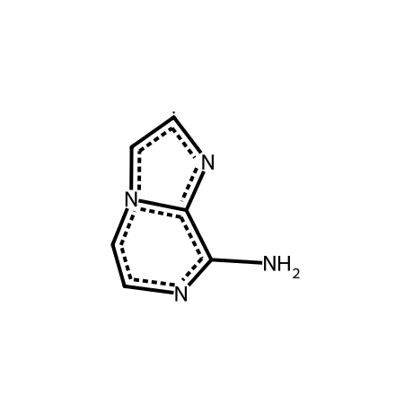 Nc1nccn2c[c]nc12